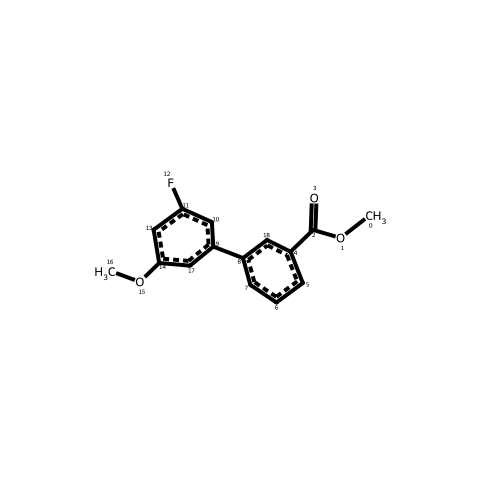 COC(=O)c1cccc(-c2cc(F)cc(OC)c2)c1